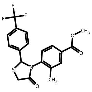 COC(=O)c1ccc(N2C(=O)CSC2c2ccc(C(F)(F)F)cc2)c(C)c1